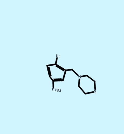 O=Cc1ccc(Br)c(CN2CCSCC2)c1